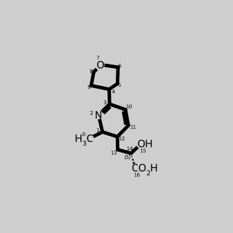 CC1N=C(C2CCOCC2)C=CC1C[C@H](O)C(=O)O